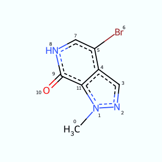 Cn1ncc2c(Br)c[nH]c(=O)c21